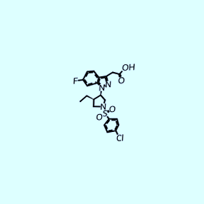 CC[C@@H]1CN(S(=O)(=O)c2ccc(Cl)cc2)C[C@@H]1n1nc(CC(=O)O)c2ccc(F)cc21